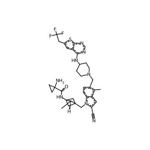 Cc1c(CN2CCC(Nc3ncnc4sc(CC(F)(F)F)cc34)CC2)ccc2c1cc(C#N)n2CC12CC(NC(=O)C3(N)CC3)(C1)[C@H]2C